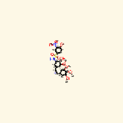 COc1ccc(S(=O)(=O)Nc2cc(/C=C\c3cc(OC)c(OC)c(OC)c3)cc(OC)c2O)cc1[N+](=O)[O-]